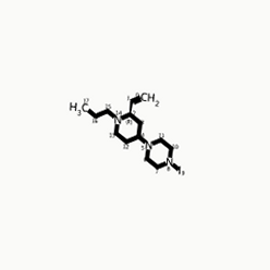 C=C[C@H]1CC(N2CCN(I)CC2)CCN1CCC